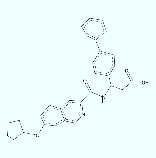 O=C(O)CC(NC(=O)c1cc2ccc(OC3CCCC3)cc2cn1)c1ccc(-c2ccccc2)cc1